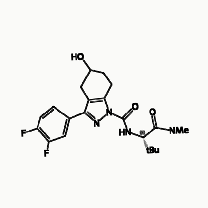 CNC(=O)[C@@H](NC(=O)n1nc(-c2ccc(F)c(F)c2)c2c1CCC(O)C2)C(C)(C)C